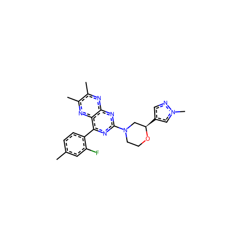 Cc1ccc(-c2nc(N3CCO[C@H](c4cnn(C)c4)C3)nc3nc(C)c(C)nc23)c(F)c1